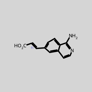 Nc1nccc2cc(/C=C/C(=O)O)ccc12